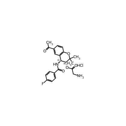 CC(=O)c1ccc2c(c1)[C@H](NC(=O)c1ccc(F)cc1)[C@@H](OC(=O)CN)C(C)(C)O2.Cl